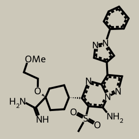 COCCO[C@]1(C(=N)N)CC[C@H](c2nc3c(-c4cnn(-c5ccccc5)c4)cnn3c(N)c2S(C)(=O)=O)CC1